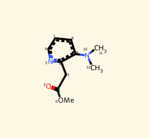 COC(=O)Cc1ncccc1N(C)C